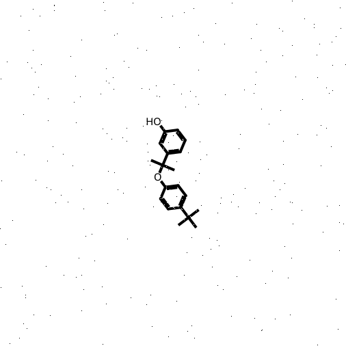 CC(C)(C)c1ccc(OC(C)(C)c2cccc(O)c2)cc1